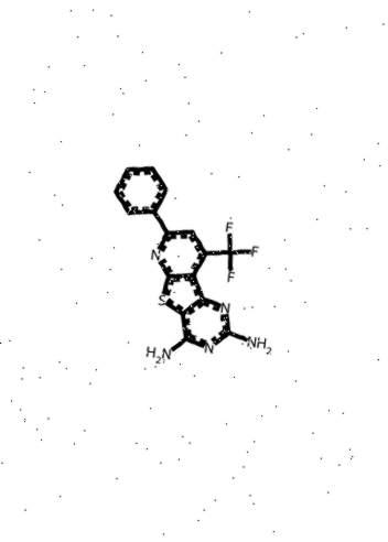 Nc1nc(N)c2sc3nc(-c4ccccc4)cc(C(F)(F)F)c3c2n1